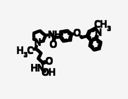 Cc1cc(COc2ccc(C(=O)NC3CCCN(C(C)CCC(=O)NO)C3)cc2)c2ccccc2n1